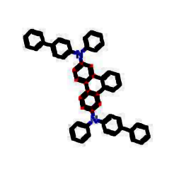 c1ccc(-c2ccc(N(c3ccccc3)c3ccc(-c4ccccc4-c4ccccc4-c4ccccc4-c4ccc(N(c5ccccc5)c5ccc(-c6ccccc6)cc5)cc4)cc3)cc2)cc1